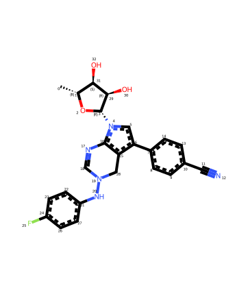 C[C@H]1O[C@@H](n2cc(-c3ccc(C#N)cc3)c3c2N=CN(Nc2ccc(F)cc2)C3)[C@H](O)[C@@H]1O